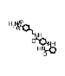 NS(=O)(=O)c1ccc(CCNC(=O)c2ccc3c(c2)NC(=O)c2ccccc2N3)cc1